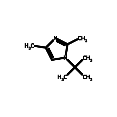 Cc1cn(C(C)(C)C)c(C)n1